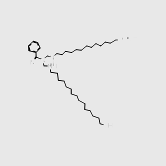 CCCCCCCCCCCCCCCCNCN(CNCCCCCCCCCCCCCCCC)C(=N)c1ccccc1